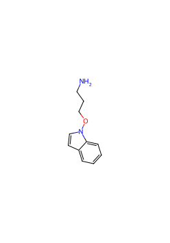 NCCCOn1ccc2ccccc21